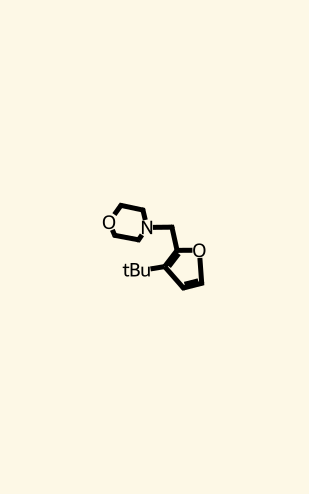 CC(C)(C)c1ccoc1CN1CCOCC1